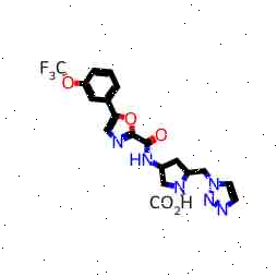 O=C(NC1CC(Cn2ccnn2)N(C(=O)O)C1)c1ncc(-c2cccc(OC(F)(F)F)c2)o1